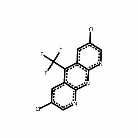 FC(F)(F)c1c2cc(Cl)cnc2nc2ncc(Cl)cc12